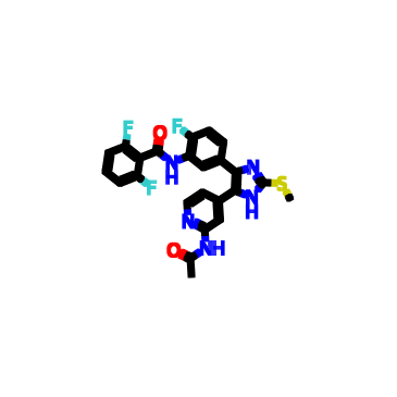 CSc1nc(-c2ccc(F)c(NC(=O)c3c(F)cccc3F)c2)c(-c2ccnc(NC(C)=O)c2)[nH]1